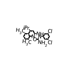 Cc1ccc(C)c2c(C(C)C)cc(NN(C(N)=O)c3cc(Cl)cc(Cl)c3)nc12